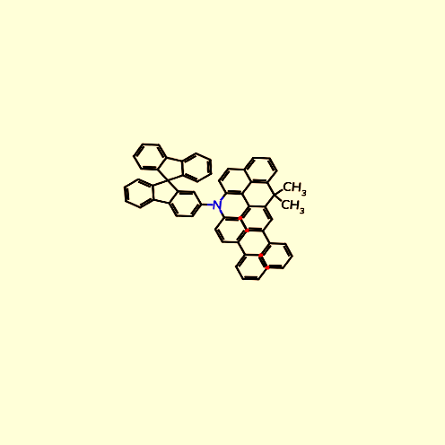 CC1(C)c2cc(-c3ccccc3)ccc2-c2c(N(c3ccc(-c4ccccc4)cc3)c3ccc4c(c3)C3(c5ccccc5-c5ccccc53)c3ccccc3-4)ccc3cccc1c23